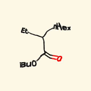 CCCCCCC(CC)C(=O)OCC(C)C